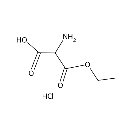 CCOC(=O)C(N)C(=O)O.Cl